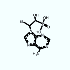 CCC(C(O)P(=O)(O)O)n1cnc2c(N)ncnc21